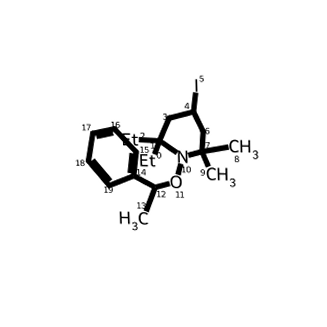 CCC1(CC)CC(I)CC(C)(C)N1OC(C)c1ccccc1